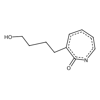 O=c1nccccc1CCCCO